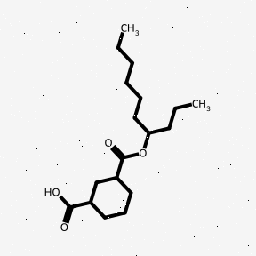 CCCCCCC(CCC)OC(=O)C1CCCC(C(=O)O)C1